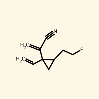 C=CC1(C(=C)C#N)CC1CCF